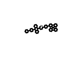 c1ccc(-c2ccc(-c3c4ccccc4c(-c4ccc(-c5ccc(-c6ccc7c(c6)C6(c8ccccc8-c8ccccc86)c6ccccc6-7)cc5)nc4)c4ccccc34)cc2)cc1